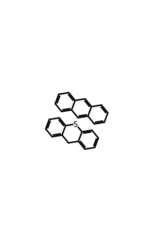 c1ccc2c(c1)Cc1ccccc1S2.c1ccc2cc3ccccc3cc2c1